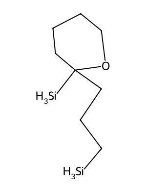 [SiH3]CCCC1([SiH3])CCCCO1